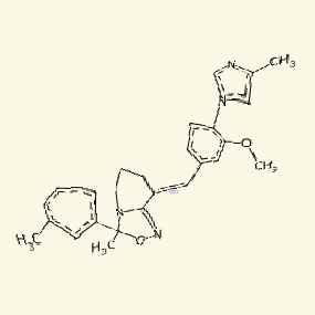 COc1cc(/C=C2\CCCN3C2=NOC3(C)c2cccc(C)c2)ccc1-n1cnc(C)c1